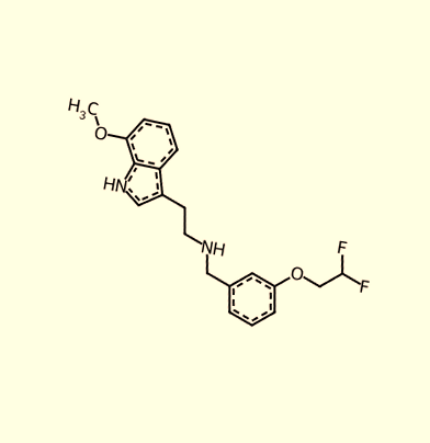 COc1cccc2c(CCNCc3cccc(OCC(F)F)c3)c[nH]c12